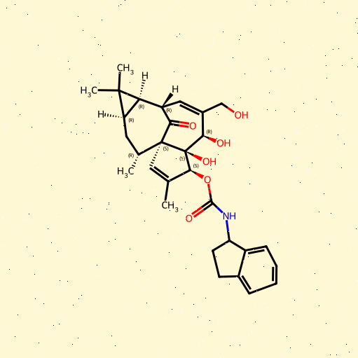 CC1=C[C@]23C(=O)[C@@H](C=C(CO)[C@@H](O)[C@]2(O)[C@H]1OC(=O)NC1CCc2ccccc21)[C@H]1[C@@H](C[C@H]3C)C1(C)C